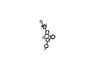 Cc1ccc(-c2ccc3c(c2)c2ccccc2n3-c2ccc(-c3cnc(C#N)nc3)cc2C#N)cc1